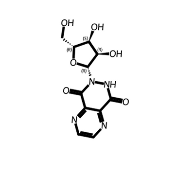 O=c1[nH]n([C@@H]2O[C@H](CO)[C@@H](O)[C@H]2O)c(=O)c2nccnc12